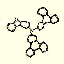 c1ccc2c(c1)oc1ccc(N(c3ccc4c5ccccc5c5ccccc5c4c3)c3ccc4c5ccccc5c5ccccc5c4c3)cc12